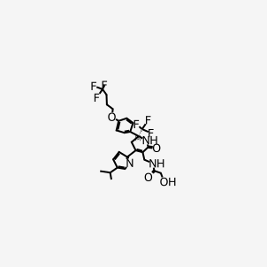 CC(C)c1ccc(C2=C(CNC(=O)CO)C(=O)N[C@@](c3ccc(OCCCC(F)(F)F)cc3)(C(F)(F)F)C2)nc1